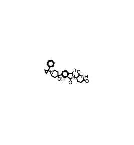 O=C1CCC(N2C(=O)c3ccc(C4(O)CCN(C5(c6ccccc6)CC5)CC4)cc3C2=O)C(=O)N1